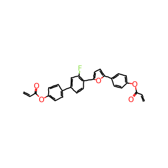 C=CC(=O)Oc1ccc(-c2ccc(-c3ccc(-c4ccc(OC(=O)C=C)cc4)o3)c(F)c2)cc1